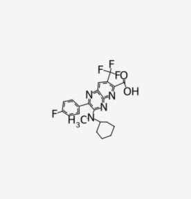 CN(c1nc2nc(C(=O)O)c(C(F)(F)F)cc2nc1-c1ccc(F)cc1)C1CCCCC1